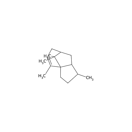 CC1=CCC2CC3C(C)CCC13C2(C)C